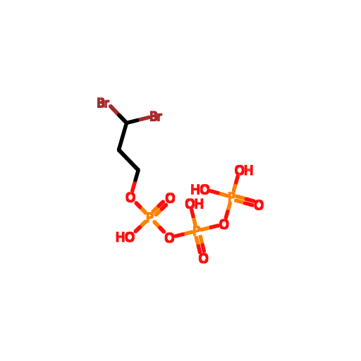 O=P(O)(O)OP(=O)(O)OP(=O)(O)OCCC(Br)Br